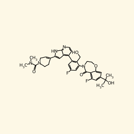 CN(C)C(=O)N1CC=C(c2cc3c(-c4cc(F)cc(N5CCOc6cc(C(C)(C)O)cc(F)c6C5=O)c4CO)ccnc3[nH]2)CC1